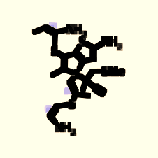 C#CC(C)(CSC)S1(/C=C(\C)S/C=C\N)C(C)=C(S/C(N)=C\C)c2sc(N)cc21